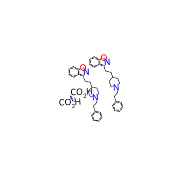 O=C(O)/C=C\C(=O)O.c1ccc(CCN2CCC(CCc3noc4ccccc34)CC2)cc1.c1ccc(CCN2CCC(CCc3noc4ccccc34)CC2)cc1